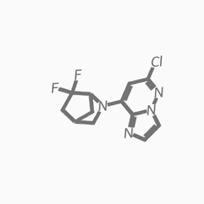 FC1(F)CC2CC1N(c1cc(Cl)nn3ccnc13)C2